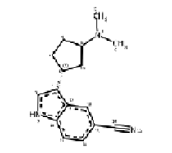 CN(C)C1CC[C@@H](c2c[nH]c3ccc(C#N)cc23)C1